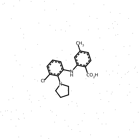 Cc1ccc(C(=O)O)c(Nc2cccc(Cl)c2N2CCCC2)c1